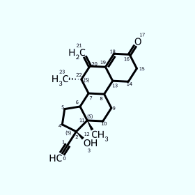 C#C[C@]1(O)CCC2C3C(CC[C@@]21C)C1CCC(=O)C=C1C(=C)[C@H]3C